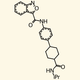 CC(C)NC(=O)C1CCC(c2ccc(NC(=O)c3onc4ccccc34)cc2)CC1